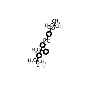 CCC(C)(C)OC(=O)c1ccc(C(=O)Oc2ccc(C(C)(c3ccccc3)c3ccc(C(C)(C)CC)cc3)cc2)cc1